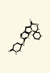 O=C1CCC(Nc2ncc3cc4n(c3n2)C2(CCCCC2)CNC4=O)CN1